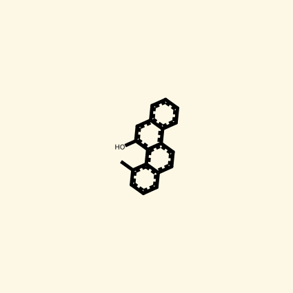 Cc1cccc2ccc3c4ccccc4cc(O)c3c12